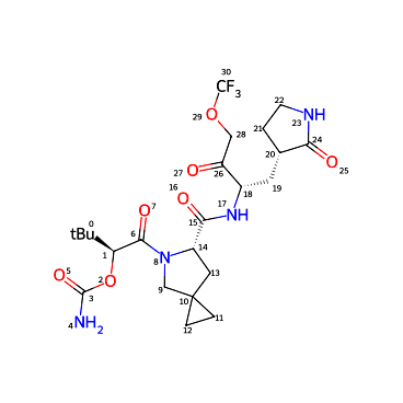 CC(C)(C)[C@H](OC(N)=O)C(=O)N1CC2(CC2)C[C@H]1C(=O)N[C@@H](C[C@@H]1CCNC1=O)C(=O)COC(F)(F)F